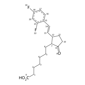 O=C(O)CCCCCCC1C(=O)CCC1C=Cc1ccc(F)cc1F